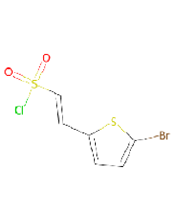 O=S(=O)(Cl)/C=C/c1ccc(Br)s1